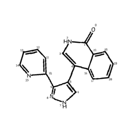 O=c1[nH]cc(-c2c[nH]nc2-c2ccccn2)c2ccccc12